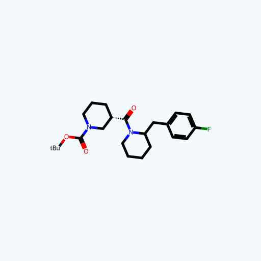 CC(C)(C)OC(=O)N1CCC[C@H](C(=O)N2CCCCC2Cc2ccc(F)cc2)C1